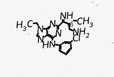 CC[C@H](CN)C(=N)c1nc(Nc2cccc(Cl)c2)c2ncn(CC)c2n1